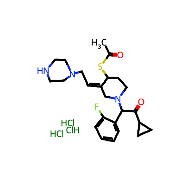 CC(=O)SC1CCN(C(C(=O)C2CC2)c2ccccc2F)C/C1=C/CN1CCNCC1.Cl.Cl.Cl